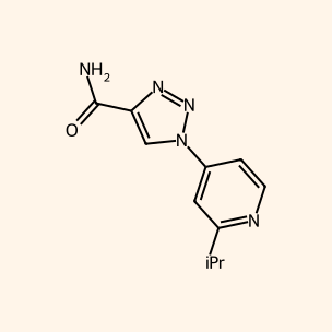 CC(C)c1cc(-n2cc(C(N)=O)nn2)ccn1